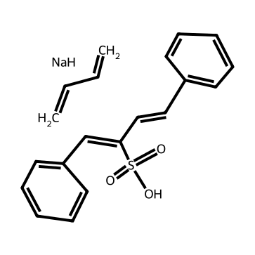 C=CC=C.O=S(=O)(O)C(C=Cc1ccccc1)=Cc1ccccc1.[NaH]